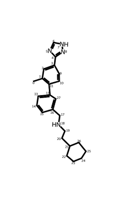 Cc1cc(-c2nc[nH]n2)ccc1-c1cccc(CNCCC2CCCCC2)c1